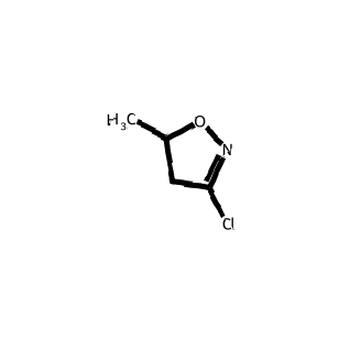 CC1CC(Cl)=NO1